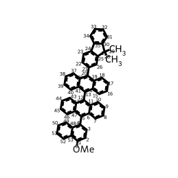 COc1ccc(-c2c3ccccc3c(-c3c4ccccc4c(-c4ccc5c(c4)C(C)(C)c4ccccc4-5)c4ccccc34)c3ccccc23)c2ccccc12